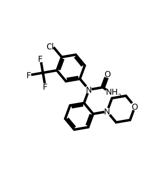 NC(=O)N(c1ccc(Cl)c(C(F)(F)F)c1)c1ccccc1N1CCOCC1